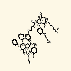 C=CCOC(=O)[C@@H]1[C@H]2C(=O)O[C@H](c3ccccc3)[C@H](c3ccccc3)N2[C@H](c2ccc(OCCOC(=O)[C@H]3C[C@H]4C(=O)N[C@@H](CCCCN(C)C)C(=O)N4[C@H]3c3cccc(OCCO)c3)cc2)[C@@]12C(=O)Nc1ccc(I)cc12